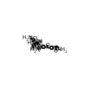 NN=NC1=C(Cl)NC(C(=O)NC2NC3(CCN(C(=O)CC4C=CC(N5CCN(N)C5=O)=CC4)CC3)CN2N)C(N=NN)N1